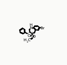 C=CS(=O)(=O)N1Cc2cc(Br)ccc2NC[C@H]1Cc1ccccc1